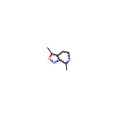 Cc1onc2c(C)nccc12